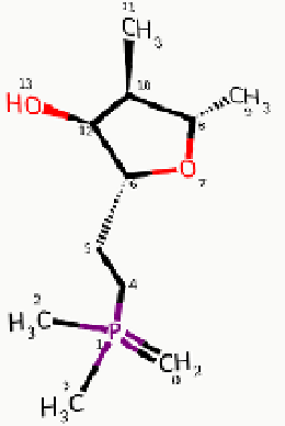 C=P(C)(C)CC[C@H]1O[C@@H](C)[C@H](C)[C@@H]1O